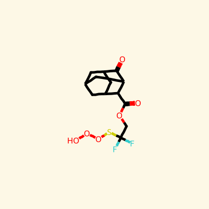 O=C1C2CC3CC(C2)C(C(=O)OCC(F)(F)SOOO)C1C3